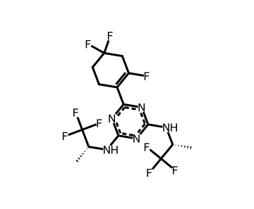 C[C@@H](Nc1nc(N[C@H](C)C(F)(F)F)nc(C2=C(F)CC(F)(F)CC2)n1)C(F)(F)F